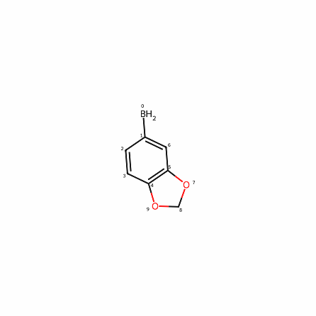 Bc1ccc2c(c1)OCO2